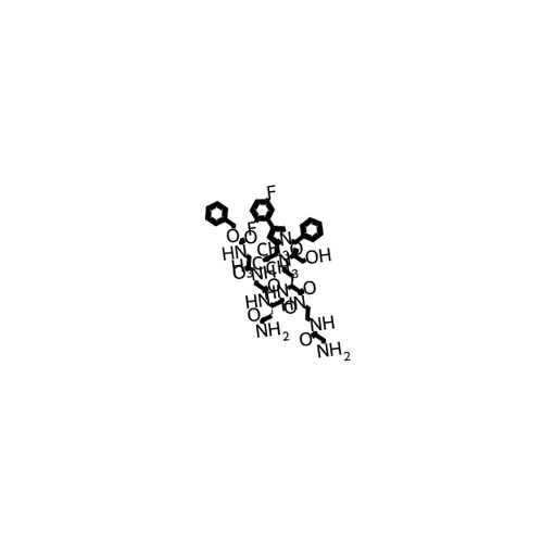 CC(C)(C)[C@H](c1cc(-c2cc(F)ccc2F)cn1Cc1ccccc1)N(CC[C@H](NC(=O)[C@H](CC(N)=O)NC(=O)CNC(=O)CNC(=O)OCc1ccccc1)C(=O)NCCNC(=O)CN)C(=O)CO